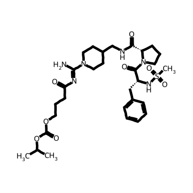 CC(C)OC(=O)OCCCC(=O)N=C(N)N1CCC(CNC(=O)[C@@H]2CCCN2C(=O)[C@@H](Cc2ccccc2)NS(C)(=O)=O)CC1